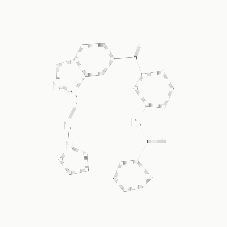 O=C(Nc1cccc(C(=O)c2ccc3cnn(C=Nn4cccc4)c3c2)c1)c1ccccc1